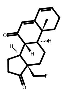 C[C@]12CCC=CC1=CC(=O)[C@H]1[C@@H]3CCC(=O)[C@@]3(CF)CC[C@@H]12